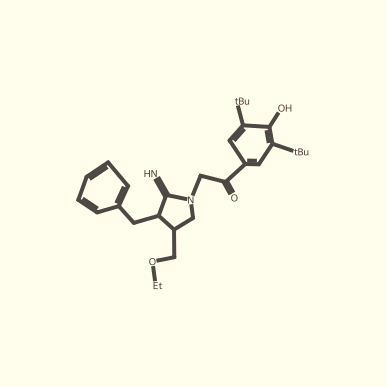 CCOCC1CN(CC(=O)c2cc(C(C)(C)C)c(O)c(C(C)(C)C)c2)C(=N)C1Cc1ccccc1